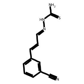 N#Cc1cccc(C=CC=NNC(N)=S)c1